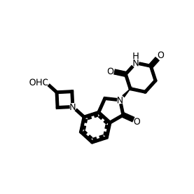 O=CC1CN(c2cccc3c2CN([C@@H]2CCC(=O)NC2=O)C3=O)C1